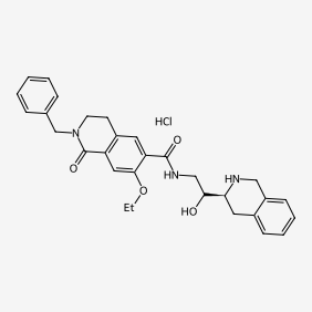 CCOc1cc2c(cc1C(=O)NCC(O)[C@@H]1Cc3ccccc3CN1)CCN(Cc1ccccc1)C2=O.Cl